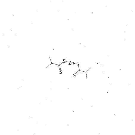 CC(C)C(=S)[S][Zn][S]C(=S)C(C)C